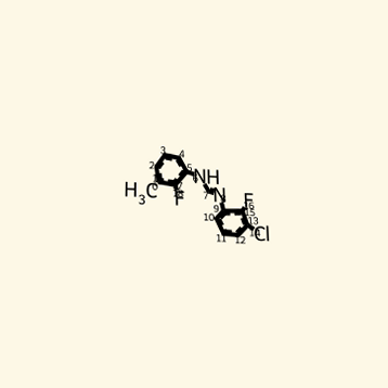 Cc1cccc(N/C=N/c2cccc(Cl)c2F)c1F